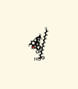 C=C1CC[C@@]2(O)[C@H]3Cc4ccc(O)c5c4[C@@]2(CCN3CC2CC2)[C@H]1O5.CCCCCCCCCCCCCCCC(=O)O